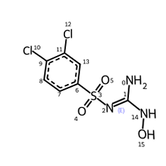 N/C(=N\S(=O)(=O)c1ccc(Cl)c(Cl)c1)NO